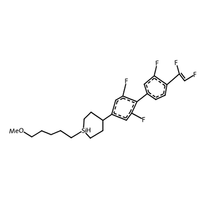 COCCCCC[SiH]1CCC(c2cc(F)c(-c3ccc(C(F)=CF)c(F)c3)c(F)c2)CC1